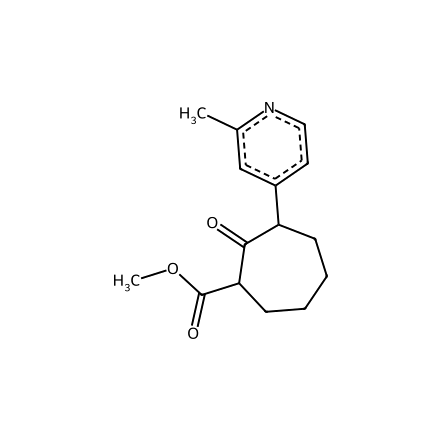 COC(=O)C1CCCCC(c2ccnc(C)c2)C1=O